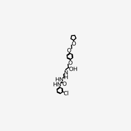 O=C(NCCNCC(O)COc1ccc(OCCOC2CCCC2)cc1)Nc1cccc(Cl)c1